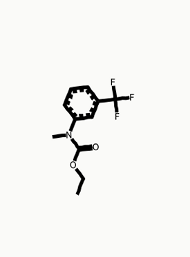 CCOC(=O)N(C)c1cccc(C(F)(F)F)c1